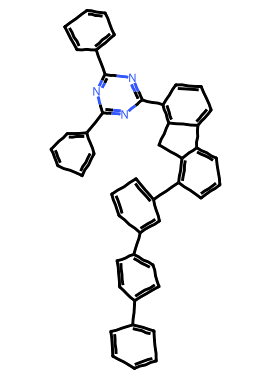 c1ccc(-c2ccc(-c3cccc(-c4cccc5c4Cc4c(-c6nc(-c7ccccc7)nc(-c7ccccc7)n6)cccc4-5)c3)cc2)cc1